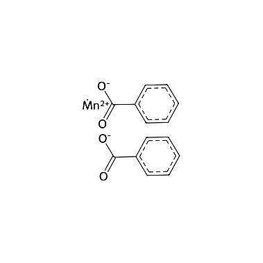 O=C([O-])c1ccccc1.O=C([O-])c1ccccc1.[Mn+2]